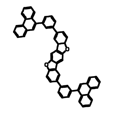 C1=CC2Oc3cc4c(cc3C2C=C1c1cccc(-c2cc3ccccc3c3ccccc23)c1)oc1ccc(-c2cccc(-c3cc5ccccc5c5ccccc35)c2)cc14